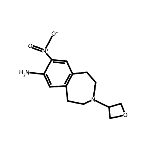 Nc1cc2c(cc1[N+](=O)[O-])CCN(C1COC1)CC2